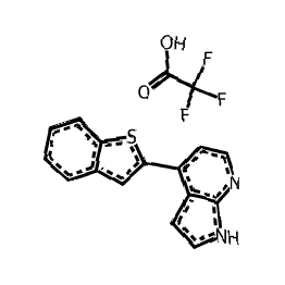 O=C(O)C(F)(F)F.c1ccc2sc(-c3ccnc4[nH]ccc34)cc2c1